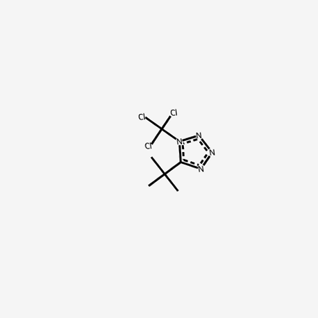 CC(C)(C)c1nnnn1C(Cl)(Cl)Cl